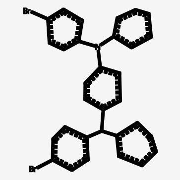 Brc1ccc(C(c2ccccc2)c2ccc(N(c3ccccc3)c3ccc(Br)cc3)cc2)cc1